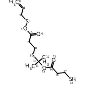 C=CCSOC(=O)CCSC(C)(C)OC(=O)CCS